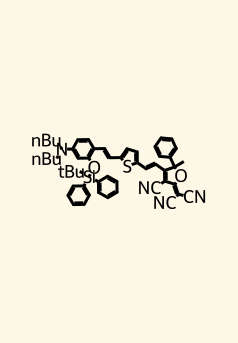 CCCCN(CCCC)c1ccc(/C=C/c2ccc(/C=C/C3=C(C#N)C(=C(C#N)C#N)OC3(C)c3ccccc3)s2)c(O[Si](c2ccccc2)(c2ccccc2)C(C)(C)C)c1